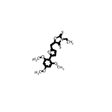 CCN1C(=S)OC(=Cc2ccc(-c3c(OC)cc(OC)cc3OC)o2)C1=S